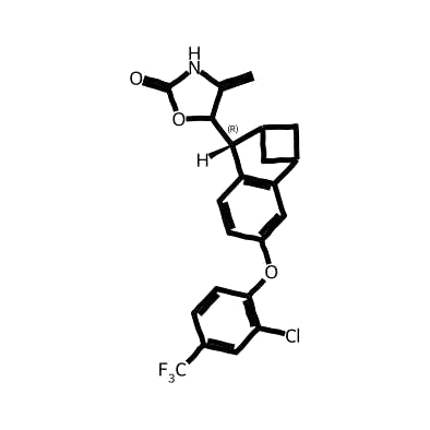 C=C1NC(=O)OC1[C@H]1c2ccc(Oc3ccc(C(F)(F)F)cc3Cl)cc2C2CC1C2